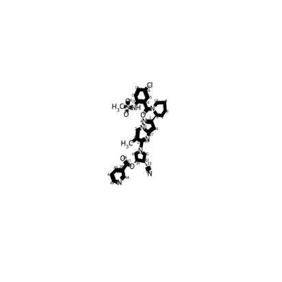 Cc1cn2nc([C@@H]3CCCCN3C(=O)c3cc(Cl)ccc3NS(C)(=O)=O)cc2nc1N1C[C@H](C#N)[C@H](OC(=O)c2cccnc2)C1